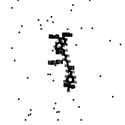 COc1ccc2c(c1OC)CCC(N)C2CCCCCCNCCc1ccc(S(C)(=O)=O)cc1.Cl.Cl